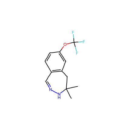 CC1(C)Cc2cc(OC(F)(F)F)ccc2C=NN1